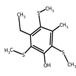 CCc1c(SC)c(C)c(SC)c(O)c1SC